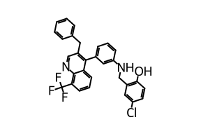 Oc1ccc(Cl)cc1CNc1cccc(-c2c(Cc3ccccc3)cnc3c(C(F)(F)F)cccc23)c1